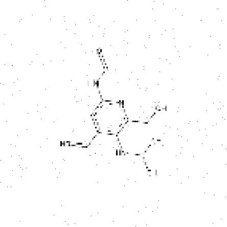 CC(C)Nc1c(C=N)cc(NC=O)nc1CO